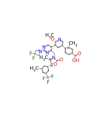 COc1ncc(-c2ccc(C(=O)O)cc2C)cc1-c1cnc(N2CC(F)(F)C2)nc1CN1C(=O)O[C@H](c2cc(C)cc(C(F)(F)F)c2)[C@@H]1C